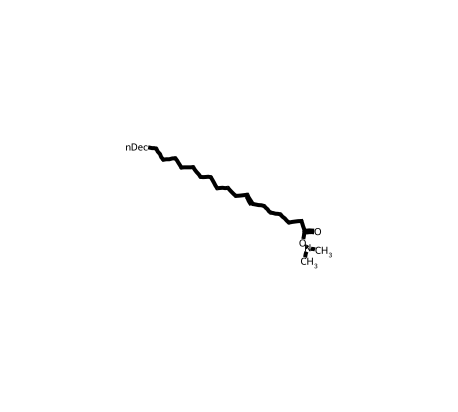 CCCCCCCCCCCCCCCCCCCCC=CCCCCCC(=O)ON(C)C